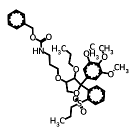 CCCOC1C(OCCCNC(=O)OCc2ccccc2)COC1(c1cc(OC)c(OC)c(OC)c1)c1ccccc1S(=O)(=O)CCC